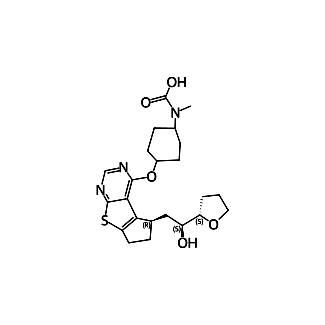 CN(C(=O)O)C1CCC(Oc2ncnc3sc4c(c23)[C@@H](C[C@H](O)[C@@H]2CCCO2)CC4)CC1